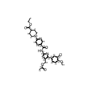 CCOC(=O)C1CCN(c2cnc(C(=O)Nc3nc(-c4ccc(OC)c(Cl)c4)c(COC(C)=O)s3)cn2)CC1